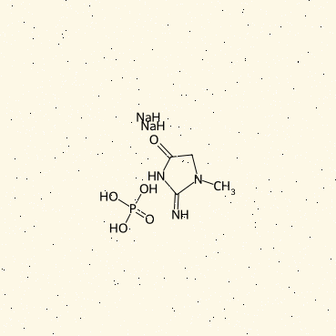 CN1CC(=O)NC1=N.O=P(O)(O)O.[NaH].[NaH]